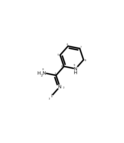 NC(=NI)C1=CC=CCN1